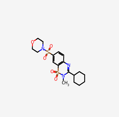 CN1C(C2CCCCC2)=Nc2ccc(S(=O)(=O)N3CCOCC3)cc2S1(=O)=O